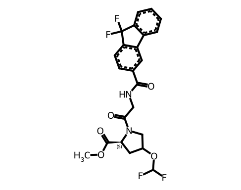 COC(=O)[C@@H]1CC(OC(F)F)CN1C(=O)CNC(=O)c1ccc2c(c1)-c1ccccc1C2(F)F